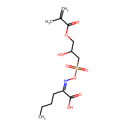 C=C(C)C(=O)OCC(O)CS(=O)(=O)ON=C(CCCC)C(=O)O